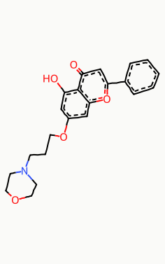 O=c1cc(-c2ccccc2)oc2cc(OCCCN3CCOCC3)cc(O)c12